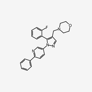 Fc1ccccc1-c1c(CN2CCOCC2)cnn1-c1ccc(-c2ccccc2)nc1